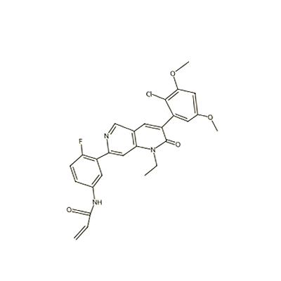 C=CC(=O)Nc1ccc(F)c(-c2cc3c(cn2)cc(-c2cc(OC)cc(OC)c2Cl)c(=O)n3CC)c1